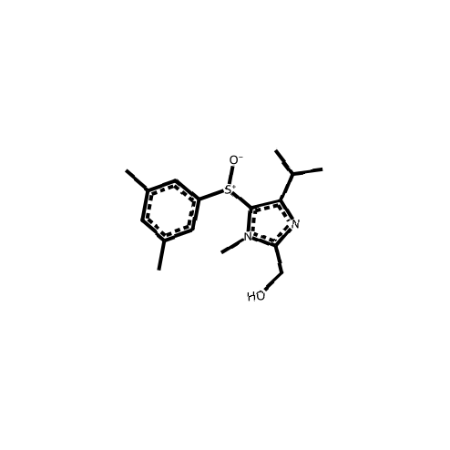 Cc1cc(C)cc([S+]([O-])c2c(C(C)C)nc(CO)n2C)c1